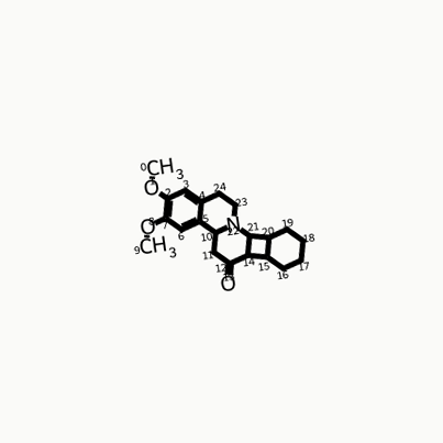 COc1cc2c(cc1OC)C1CC(=O)C3C4CCCCC4C3N1CC2